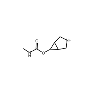 CNC(=O)OC1C2CNCC21